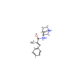 N#CC(=Cc1ccccc1)C(=O)NC1CN2CCC1CC2